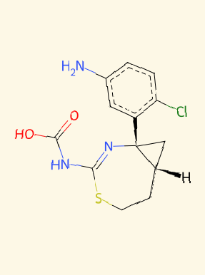 Nc1ccc(Cl)c([C@@]23C[C@@H]2CCSC(NC(=O)O)=N3)c1